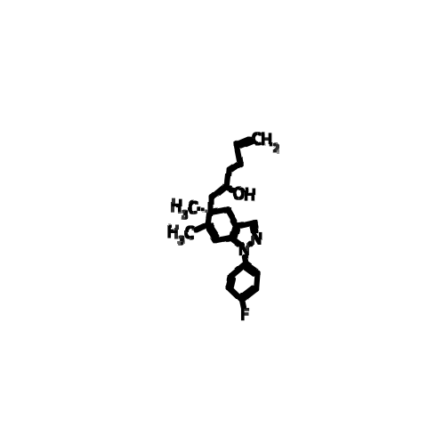 C=CCCC(O)C[C@@]1(C)Cc2cnn(-c3ccc(F)cc3)c2C=C1C